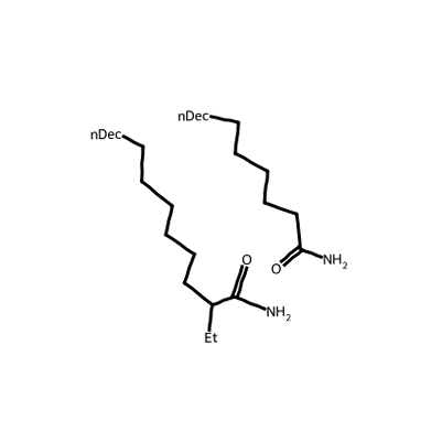 CCCCCCCCCCCCCCCC(N)=O.CCCCCCCCCCCCCCCCC(CC)C(N)=O